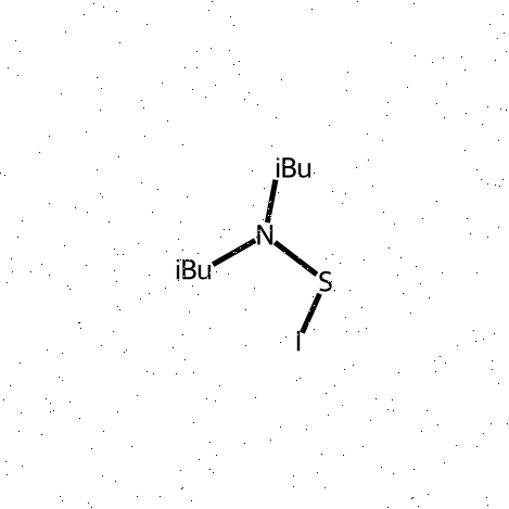 CCC(C)N(SI)C(C)CC